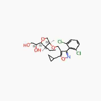 CC[C@@]1(C)[C@@H]([C@@H](O)CO)OC[C@@]1(C)OCc1c(-c2c(Cl)cccc2Cl)noc1C1CC1